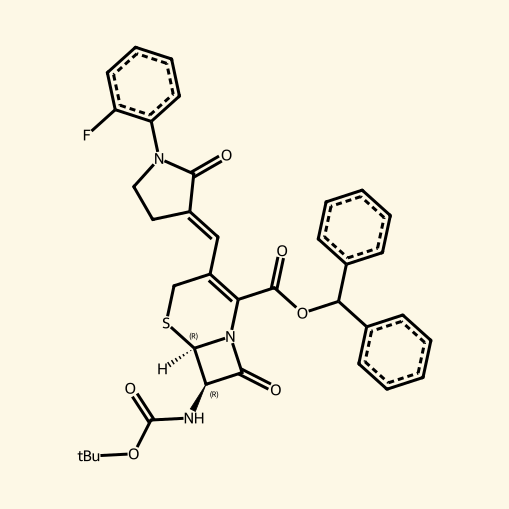 CC(C)(C)OC(=O)N[C@@H]1C(=O)N2C(C(=O)OC(c3ccccc3)c3ccccc3)=C(C=C3CCN(c4ccccc4F)C3=O)CS[C@H]12